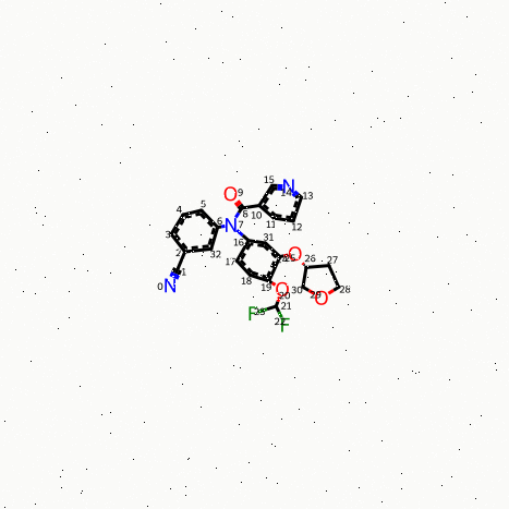 N#Cc1cccc(N(C(=O)c2cccnc2)c2ccc(OC(F)F)c(O[C@@H]3CCOC3)c2)c1